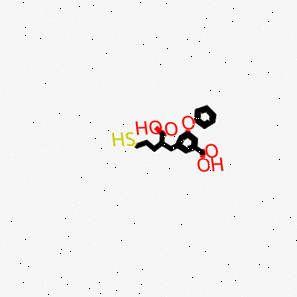 O=C(O)c1cc(CC(CCCS)C(=O)O)cc(Oc2ccccc2)c1